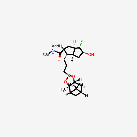 CC(=O)N[C@@]1(C(=O)NC(C)(C)C)C[C@H]2[C@H](F)[C@@H](O)C[C@H]2[C@@H]1CCCB1O[C@@H]2C[C@@H]3C[C@@H](C3(C)C)[C@]2(C)O1